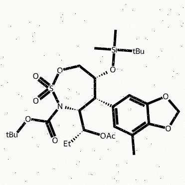 CC[C@@H](OC(C)=O)[C@H]1[C@@H](c2cc(C)c3c(c2)OCO3)[C@@H](O[Si](C)(C)C(C)(C)C)COS(=O)(=O)N1C(=O)OC(C)(C)C